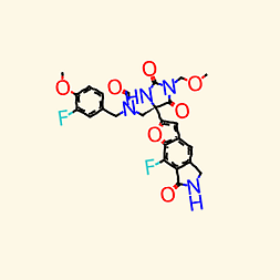 COCN1C(=O)N[C@@](CN(C=O)Cc2ccc(OC)c(F)c2)(c2cc3cc4c(c(F)c3o2)C(=O)NC4)C1=O